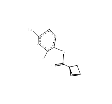 O=C(Nc1ccc(Br)cc1F)C12CC(C1)C2